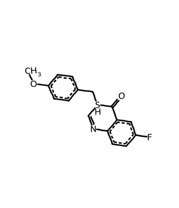 COc1ccc(C[SH]2C=Nc3ccc(F)cc3C2=O)cc1